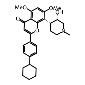 COc1cc(OC)c2c(=O)cc(-c3ccc(C4CCCCC4)cc3)oc2c1[C@H]1CCN(C)C[C@H]1O